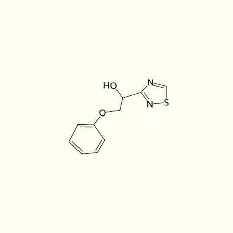 OC(COc1ccccc1)c1ncsn1